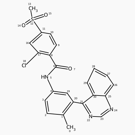 Cc1ccc(NC(=O)c2ccc(S(C)(=O)=O)cc2Cl)cc1-c1ncnc2ccccc12